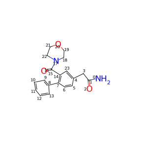 NC(=O)Cc1ccc(-c2ccccc2)c(C(=O)N2CCOCC2)c1